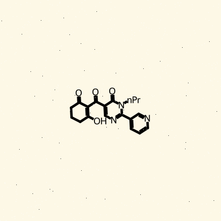 CCCn1c(-c2cccnc2)ncc(C(=O)C2=C(O)CCCC2=O)c1=O